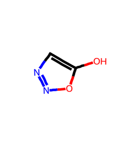 Oc1cnno1